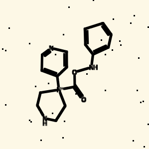 O=C(ONc1ccccc1)[N+]1(c2ccncc2)CCNCC1